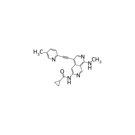 CNc1ncc(C#Cc2ccc(C)cn2)c2cc(NC(=O)C3CC3)ncc12